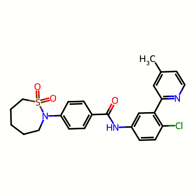 Cc1ccnc(-c2cc(NC(=O)c3ccc(N4CCCCCS4(=O)=O)cc3)ccc2Cl)c1